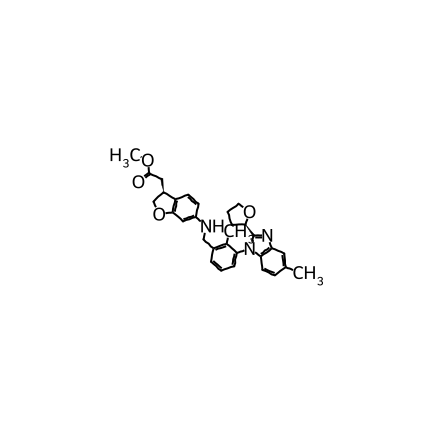 COC(=O)C[C@@H]1COc2cc(NCc3cccc(-n4c([C@H]5CCCO5)nc5cc(C)ccc54)c3C)ccc21